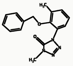 Cc1cccc(-n2nnn(C)c2=O)c1OCc1ccccc1